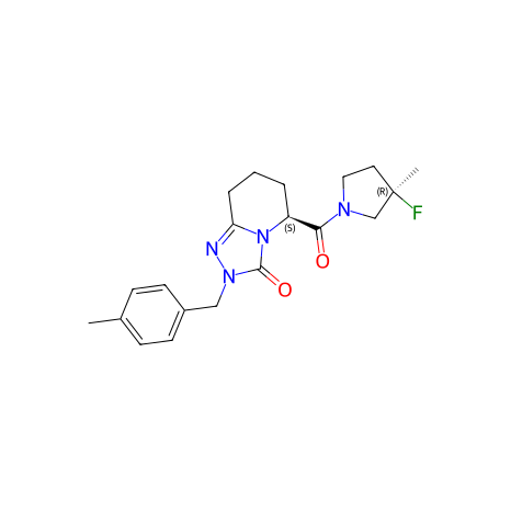 Cc1ccc(Cn2nc3n(c2=O)[C@H](C(=O)N2CC[C@@](C)(F)C2)CCC3)cc1